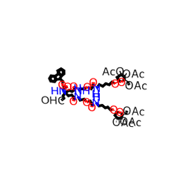 CC(=O)OC[C@H]1O[C@@H](OCCCCCNC(=O)COCCNC(=O)CCC(CCC=O)(CCC(=O)NCCOCC(=O)NCCCCCO[C@H]2C[C@@H](OC(C)=O)[C@@H](OC(C)=O)[C@@H](COC(C)=O)O2)NC(=O)OCC2c3ccccc3-c3ccccc32)C[C@@H](OC(C)=O)[C@H]1OC(C)=O